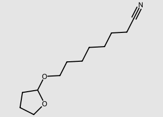 N#CCCCCCCCOC1CCCO1